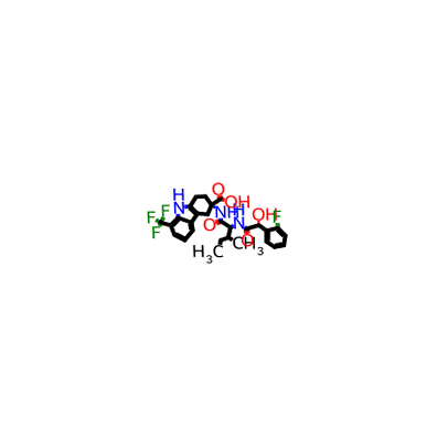 CCC(C)C(NC(=O)[C@@H](O)c1ccccc1F)C(=O)N[C@]1(C(=O)O)CCc2[nH]c3c(C(F)(F)F)cccc3c2C1